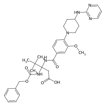 COc1cc(C(=O)NC(CC(=O)O)(NC(=O)OCc2ccccc2)C(C)(C)C)ccc1N1CCC(Nc2ncccn2)CC1